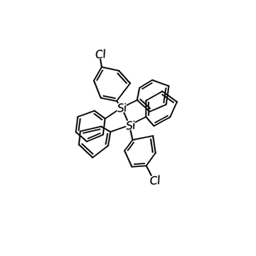 Clc1ccc([Si](c2ccccc2)(c2ccccc2)[Si](c2ccccc2)(c2ccccc2)c2ccc(Cl)cc2)cc1